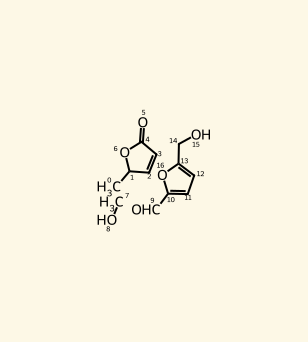 CC1C=CC(=O)O1.CO.O=Cc1ccc(CO)o1